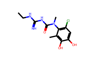 CCNC(=N)NC(=O)N(C)c1c(Cl)cc(O)c(O)c1C